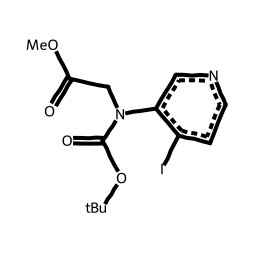 COC(=O)CN(C(=O)OC(C)(C)C)c1cnccc1I